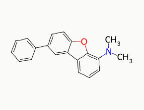 CN(C)c1cccc2c1oc1ccc(-c3ccccc3)cc12